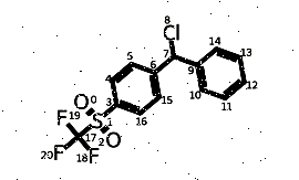 O=S(=O)(c1ccc(C(Cl)c2ccccc2)cc1)C(F)(F)F